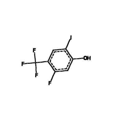 Oc1cc(F)c(C(F)(F)F)cc1I